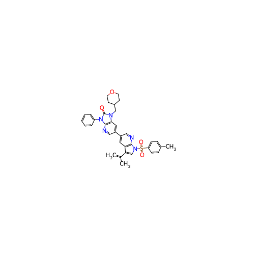 C=C(C)c1cn(S(=O)(=O)c2ccc(C)cc2)c2ncc(-c3cnc4c(c3)n(CC3CCOCC3)c(=O)n4-c3ccccc3)cc12